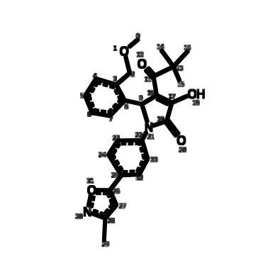 COCc1ccccc1C1C(C(=O)C(C)(C)C)=C(O)C(=O)N1c1ccc(-c2cc(C)no2)cc1